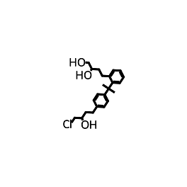 CC(C)(c1ccc(CCC(O)CCl)cc1)c1ccccc1CCC(O)CO